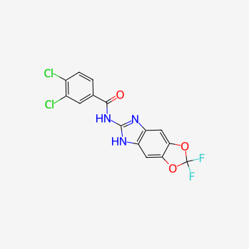 O=C(Nc1nc2cc3c(cc2[nH]1)OC(F)(F)O3)c1ccc(Cl)c(Cl)c1